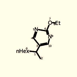 CCCCCCC(C)c1cnc(OCC)nc1